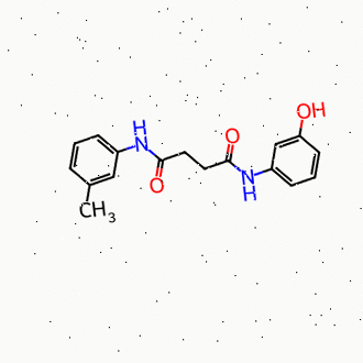 Cc1cccc(NC(=O)CCC(=O)Nc2cccc(O)c2)c1